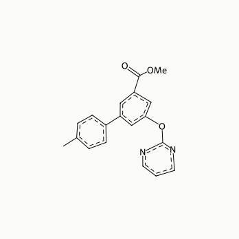 COC(=O)c1cc(Oc2ncccn2)cc(-c2ccc(C)cc2)c1